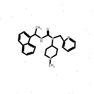 CC(NC(=O)N(Cc1ccccn1)C1CCN(C)CC1)c1cccc2ccccc12